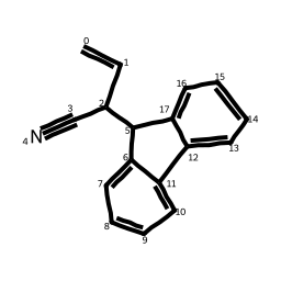 C=CC(C#N)C1c2ccccc2-c2ccccc21